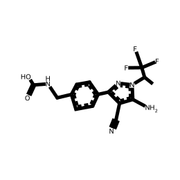 CC(n1nc(-c2ccc(CNC(=O)O)cc2)c(C#N)c1N)C(F)(F)F